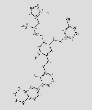 Cc1c(COc2cc(OCc3cccc(C#N)c3)c(CNC(Cc3cncn3C)C(=O)O)cc2Cl)cccc1-c1ccc2c(c1)OCCO2